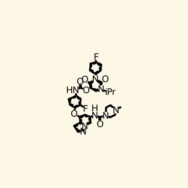 CC(C)n1cc(OC(=O)Nc2ccc(Oc3cc(NC(=O)N4CCN(C)CC4)cn4nccc34)c(F)c2)c(=O)n(-c2ccc(F)cc2)c1=O